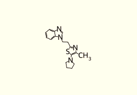 Cc1nc(CCn2cnc3ccccc32)sc1N1CCCC1